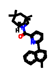 Cc1ccc(-c2cccc(C(=O)N3C[C@]4(C)C[C@H]3CC(C)(C)C4)n2)c2ccccc12